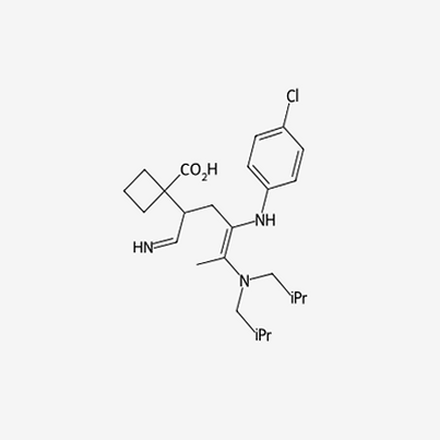 C/C(=C(\CC(C=N)C1(C(=O)O)CCC1)Nc1ccc(Cl)cc1)N(CC(C)C)CC(C)C